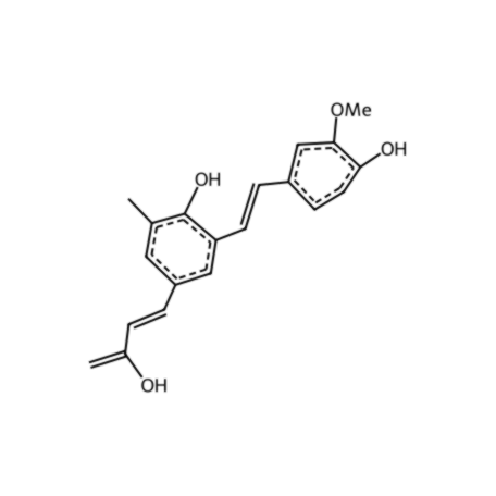 C=C(O)/C=C/c1cc(C)c(O)c(/C=C/c2ccc(O)c(OC)c2)c1